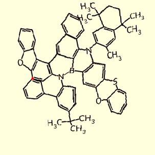 Cc1cc2c(cc1N1c3cc4c(cc3B3c5c(cc6ccccc6c51)-c1c(ccc5oc6ccccc6c15)N3c1ccc(C(C)(C)C)cc1-c1ccccc1)Oc1ccccc1S4)C(C)(C)CCC2(C)C